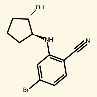 N#Cc1ccc(Br)cc1N[C@H]1CCC[C@@H]1O